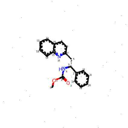 COC(=O)N[C@H](Cc1ccc2ccccc2n1)c1ccccc1